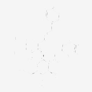 CCC1O[C@@H](O[C@@H]2C(COCc3ccccc3)O[C@@H](C)C(C)[C@H]2C)C(OCc2ccccc2)[C@@H](C)[C@@H]1C